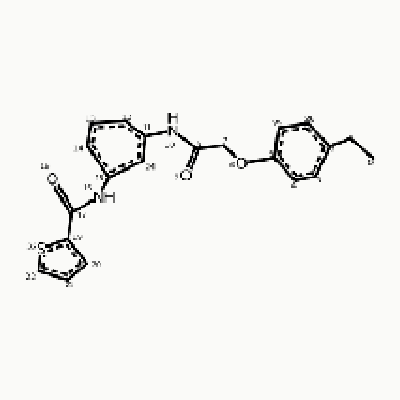 CCc1ccc(OCC(=O)Nc2cccc(NC(=O)c3cccs3)c2)cc1